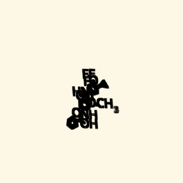 CCOc1cc(NC(=O)[C@@H](O)c2ccccc2)ccc1S(=O)(=O)Nc1ccc(C2CC2)c(OC(F)(F)F)c1